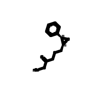 CCCCOC(=O)COC[C@@H]1O[C@H]1c1ccccc1